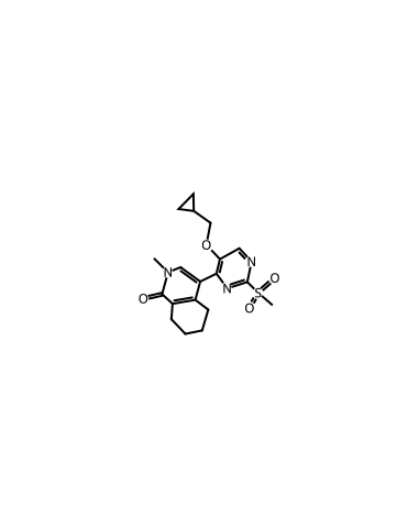 Cn1cc(-c2nc(S(C)(=O)=O)ncc2OCC2CC2)c2c(c1=O)CCCC2